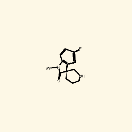 CC(C)N1C(=O)[C@]2(CCCNC2)c2cc(F)ccc21